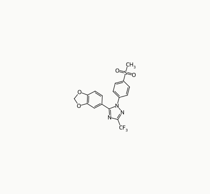 CS(=O)(=O)c1ccc(-n2nc(C(F)(F)F)nc2-c2ccc3c(c2)OCO3)cc1